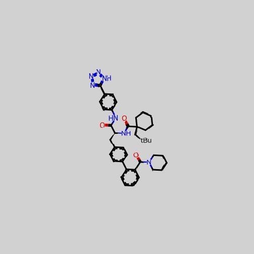 CC(C)(C)CC1(C(=O)N[C@@H](Cc2ccc(-c3ccccc3C(=O)N3CCCCC3)cc2)C(=O)Nc2ccc(-c3nnn[nH]3)cc2)CCCCC1